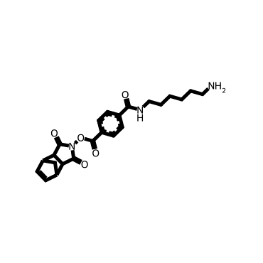 NCCCCCCNC(=O)c1ccc(C(=O)ON2C(=O)C3C4C=CC(C4)C3C2=O)cc1